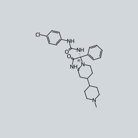 CN1CCC(C2CCN([C@@](NC(=O)Nc3ccc(Cl)cc3)(C(N)=O)c3ccccc3)CC2)CC1